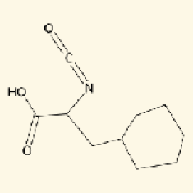 O=C=NC(CC1CCCCC1)C(=O)O